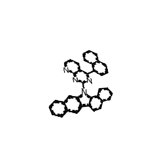 c1ccc2cc3c(cc2c1)c1ccc2ccccc2c1n3-c1nc(-c2cccc3ccccc23)c2cccnc2n1